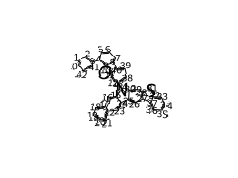 c1ccc(-c2cccc3c2oc2cc(-n4c5cc6ccccc6cc5c5cc6c(cc54)sc4ccccc46)ccc23)cc1